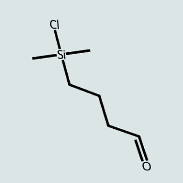 C[Si](C)(Cl)CCCC=O